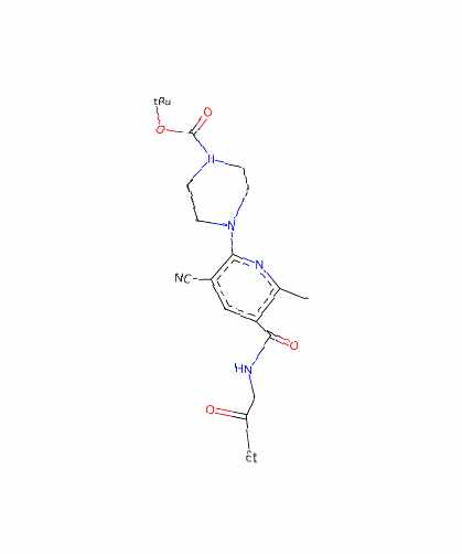 CCC(=O)CNC(=O)c1cc(C#N)c(N2CCN(C(=O)OC(C)(C)C)CC2)nc1C